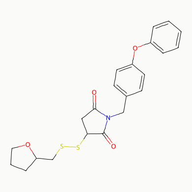 O=C1CC(SSCC2CCCO2)C(=O)N1Cc1ccc(Oc2ccccc2)cc1